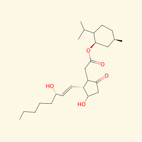 CCCCC[C@H](O)/C=C/[C@H]1C(O)CC(=O)C1CC(=O)O[C@@H]1C[C@H](C)CCC1C(C)C